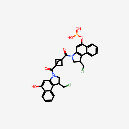 O=C(N1CC(CCl)c2c1cc(O)c1ccccc21)C12CC(C(=O)N3CC(CCl)c4c3cc(OP(O)O)c3ccccc43)(C1)C2